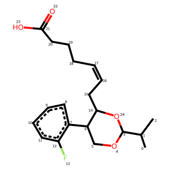 CC(C)C1OCC(c2ccccc2F)C(C/C=C\CCCC(=O)O)O1